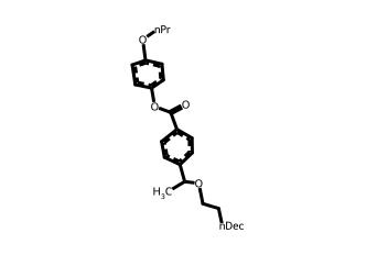 CCCCCCCCCCCCOC(C)c1ccc(C(=O)Oc2ccc(OCCC)cc2)cc1